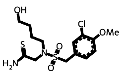 COc1ccc(CS(=O)(=O)N(CCCCO)CC(N)=S)cc1Cl